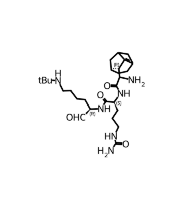 C[C@H](C1=C2CCCCC1C2)C(N)C(=O)N[C@@H](CCCNC(N)=O)C(=O)N[C@@H](C=O)CCCCNC(C)(C)C